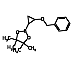 CC1(C)OB(C2CC2OCc2ccccc2)OC1(C)C